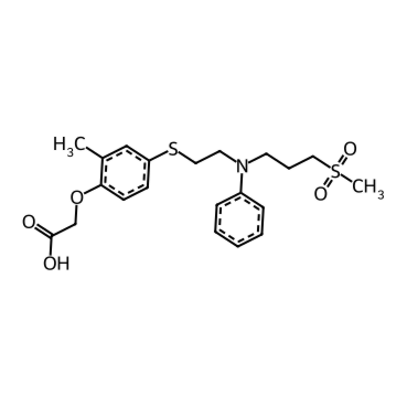 Cc1cc(SCCN(CCCS(C)(=O)=O)c2ccccc2)ccc1OCC(=O)O